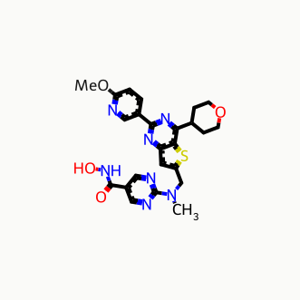 COc1ccc(-c2nc(C3CCOCC3)c3sc(CN(C)c4ncc(C(=O)NO)cn4)cc3n2)cn1